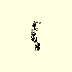 COC1CC(C(=O)Nc2ncc(Oc3cnc(N4CCC5(CCOC5)C4)cn3)s2)C1